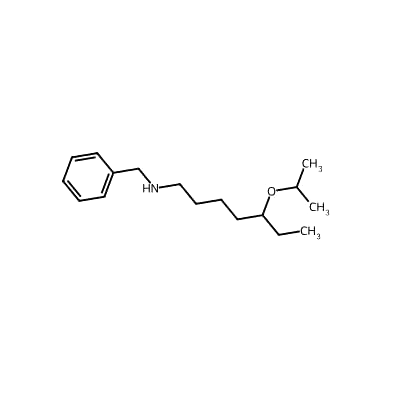 CCC(CCCCNCc1ccccc1)OC(C)C